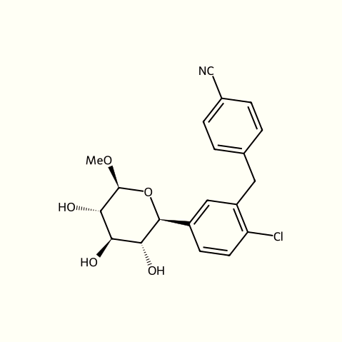 CO[C@H]1O[C@@H](c2ccc(Cl)c(Cc3ccc(C#N)cc3)c2)[C@H](O)[C@@H](O)[C@@H]1O